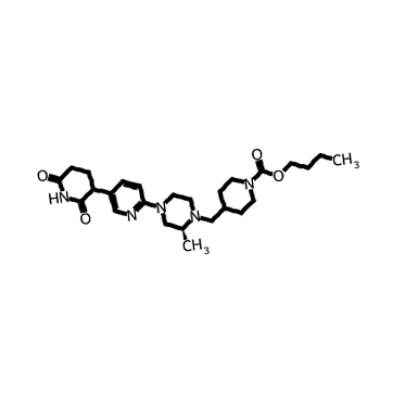 CCCCOC(=O)N1CCC(CN2CCN(c3ccc(C4CCC(=O)NC4=O)cn3)C[C@@H]2C)CC1